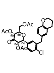 CC(=O)OC[C@H]1O[C@@H](c2ccc(Cl)c(Cc3ccc4c(c3)CCCO4)c2)[C@H](OC(C)=O)C(=O)[C@@H]1OC(C)=O